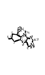 BC1=C2C(=CC(C)C1)Sc1cncnc1N2C